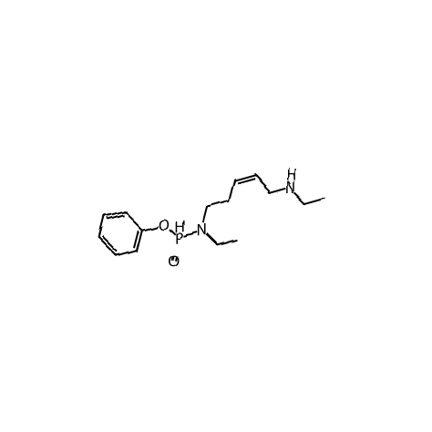 CCNC/C=C\CCN(CC)[PH](=O)Oc1ccccc1